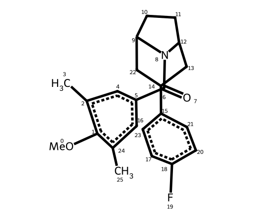 COc1c(C)cc(C(=O)N2C3CCC2CC(c2ccc(F)cc2)C3)cc1C